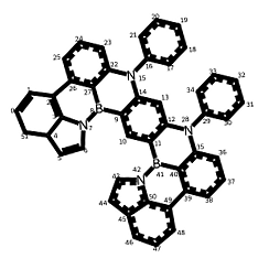 C1=CC2=C3C(C=CN3B3c4cc5c(cc4N(c4ccccc4)c4cccc2c43)N(c2ccccc2)c2cccc3c2B5n2ccc4cccc-3c42)C1